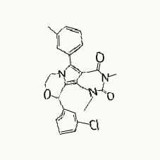 Cc1cccc(-c2c3c(=O)n(C)c(=O)n(C)c3c3n2CCOC3c2cccc(Cl)c2)c1